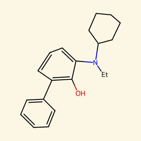 CCN(c1cccc(-c2ccccc2)c1O)C1CCCCC1